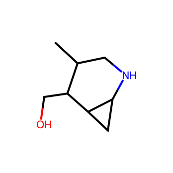 CC1CNC2CC2C1CO